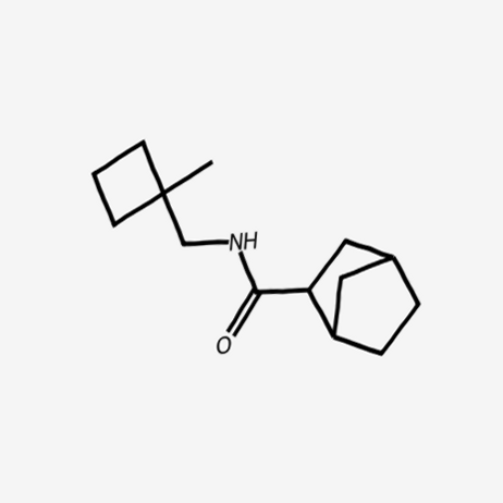 CC1(CNC(=O)C2CC3CCC2C3)CCC1